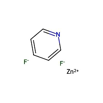 [F-].[F-].[Zn+2].c1ccncc1